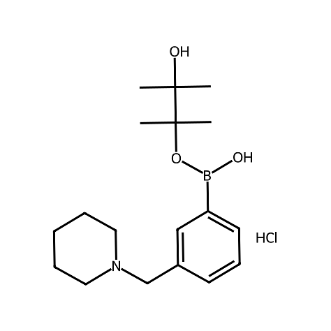 CC(C)(O)C(C)(C)OB(O)c1cccc(CN2CCCCC2)c1.Cl